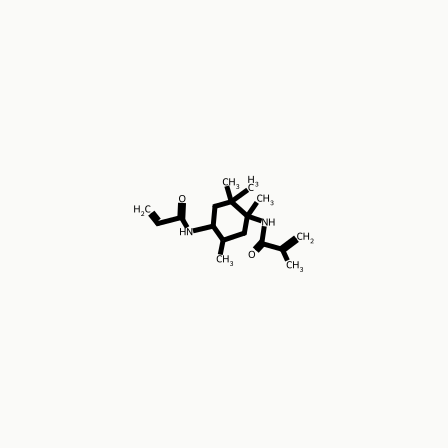 C=CC(=O)NC1CC(C)(C)C(C)(NC(=O)C(=C)C)CC1C